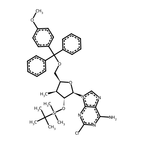 COc1ccc(C(OC[C@H]2O[C@@H](n3cnc4c(N)nc(Cl)nc43)[C@H](O[Si](C)(C)C(C)(C)C)[C@H]2C)(c2ccccc2)c2ccccc2)cc1